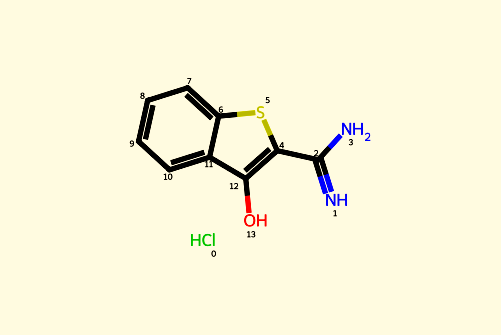 Cl.N=C(N)c1sc2ccccc2c1O